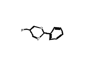 BrC1COC(c2ccccc2)OC1